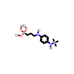 CCO[Si](CCCN(CC)c1ccc(N(CC)[Si](C)(C)C)cc1)(OCC)OCC